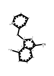 N#Cc1nn(Cc2ccccn2)c2c(F)cccc12